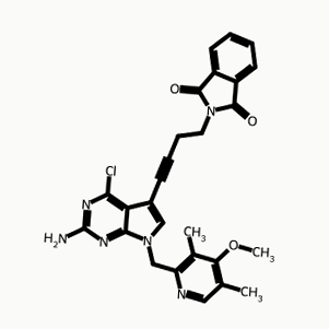 COc1c(C)cnc(Cn2cc(C#CCCN3C(=O)c4ccccc4C3=O)c3c(Cl)nc(N)nc32)c1C